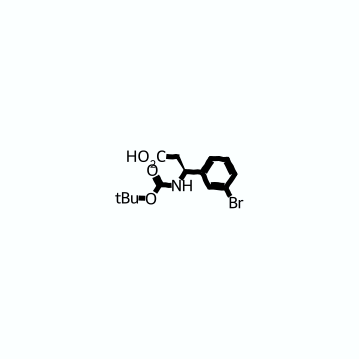 CC(C)(C)OC(=O)N[C@@H](CC(=O)O)c1cccc(Br)c1